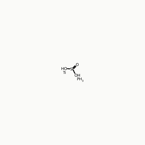 O=[Si](O)O.P.[Ti]